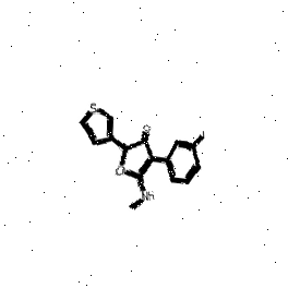 CNC1=C(c2cccc(I)c2)C(=O)C(c2ccsc2)O1